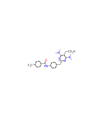 CN(C)c1n[13c](Cc2ccc(NC(=O)c3ccc(C(F)(F)F)cc3)cc2)nc(N(C)C)c1CC(=O)O